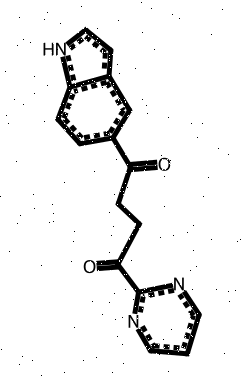 O=C(CCC(=O)c1ncccn1)c1ccc2[nH]ccc2c1